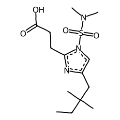 CCC(C)(C)Cc1cn(S(=O)(=O)N(C)C)c(CCC(=O)O)n1